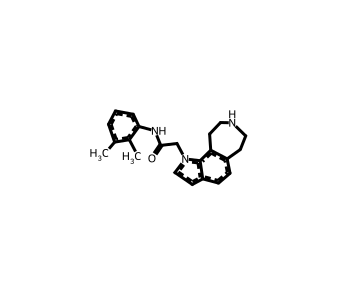 Cc1cccc(NC(=O)Cn2ccc3ccc4c(c32)CCNCC4)c1C